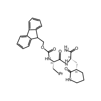 CC(C)C[C@H](NC(=O)OCC1c2ccccc2-c2ccccc21)C(=O)N[C@@H](C[C@@H]1CCCNC1=O)C(N)=O